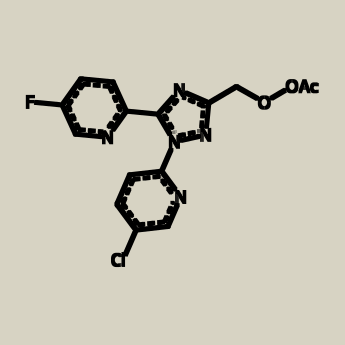 CC(=O)OOCc1nc(-c2ccc(F)cn2)n(-c2ccc(Cl)cn2)n1